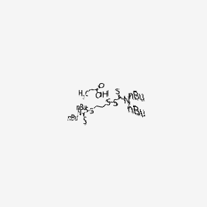 CCC(=O)O.CCCCN(CCCC)C(=S)SSCCSSC(=S)N(CCCC)CCCC